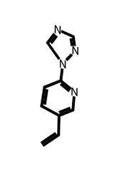 C=Cc1ccc(-n2cncn2)nc1